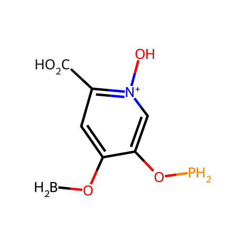 BOc1cc(C(=O)O)[n+](O)cc1OP